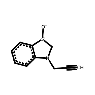 C#CCN1C[S+]([O-])c2ccccc21